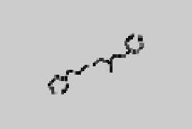 c1ccc(CCCCCNCCc2ccccc2)cc1